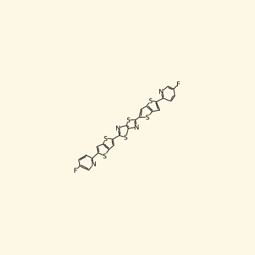 Fc1ccc(-c2cc3sc(-c4nc5sc(-c6cc7sc(-c8ccc(F)cn8)cc7s6)nc5s4)cc3s2)nc1